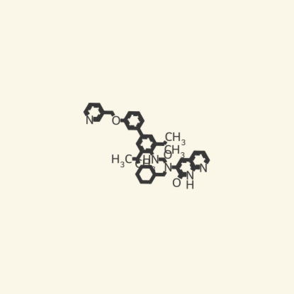 CC(C)c1cc(-c2cccc(OCc3cccnc3)c2)cc(C(C)C)c1NC(=O)N(CC1CCCCC1)c1cc2cccnc2[nH]c1=O